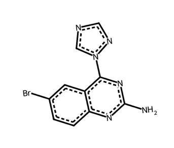 Nc1nc(-n2cncn2)c2cc(Br)ccc2n1